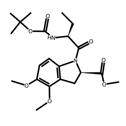 CC[C@H](NC(=O)OC(C)(C)C)C(=O)N1c2ccc(OC)c(OC)c2C[C@@H]1C(=O)OC